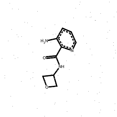 Nc1cccnc1C(=O)NC1COC1